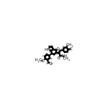 CNC(=O)c1c(-c2ccc(F)c(C)c2)oc2c1cc(-c1ccc(OC)c(C=O)c1)c1[nH]ccc12